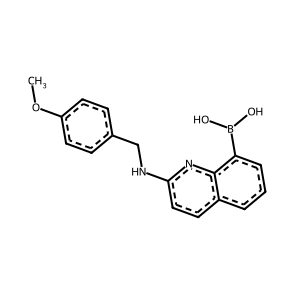 COc1ccc(CNc2ccc3cccc(B(O)O)c3n2)cc1